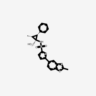 Cc1nc2cc(-c3ccc(S(=O)(=O)N[C@@]4(C(=O)O)[C@H](C)[C@@H]4c4ccccc4)s3)ccc2s1